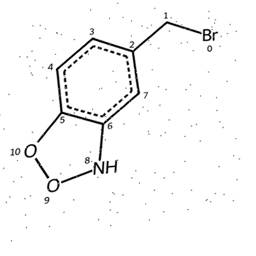 BrCc1ccc2c(c1)NOO2